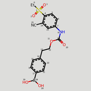 CCS(=O)(=O)c1ccc(NC(=O)OCCc2ccc(B(O)O)cc2)cc1C#N